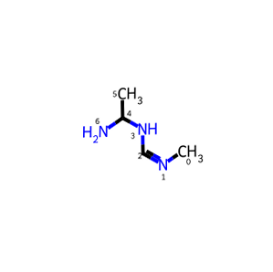 C/N=C\NC(C)N